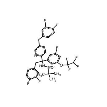 CC(C)(C)[S@+]([O-])NC(Cc1ccc(F)c(F)c1)(c1cc(F)cc(OC(F)(F)C(F)F)c1)c1ccc(Cc2ccc(F)c(F)c2)cn1